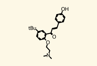 CN(C)CCOc1ccc(C(C)(C)C)cc1C(=O)C=Cc1ccc(O)cc1